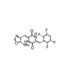 CC(C)(C)c1ocnc1C=c1[nH]c(=O)c(=Cc2c(F)c(F)cc(F)c2F)[nH]c1=O